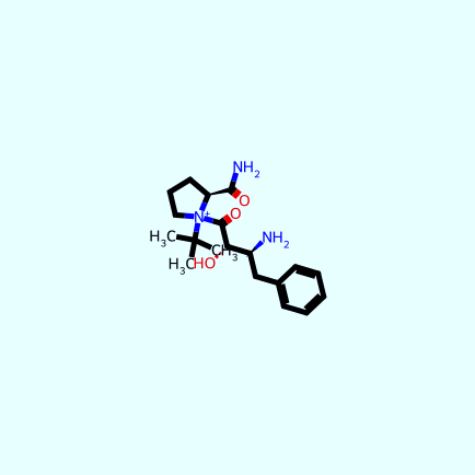 CC(C)(C)[N+]1(C(=O)[C@@H](O)[C@@H](N)Cc2ccccc2)CCC[C@H]1C(N)=O